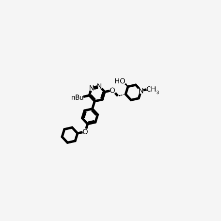 CCCCc1nnc(OC[C@H]2CCN(C)C[C@@H]2O)cc1-c1ccc(OC2CCCCC2)cc1